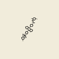 C=C(Sc1cc(C)ccc1C)c1ccc(-c2c3ccccc3c(-c3ccc(-c4nc5ccc(C)cc5s4)cc3)c3ccccc23)cc1